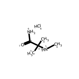 CNC(C)(C)C(N)=O.Cl